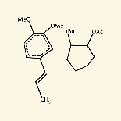 CC(=O)OC1CCCCC1C(C)(C)C.CC=Cc1ccc(OC)c(OC)c1